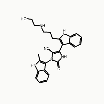 Cc1[nH]c2ccccc2c1-n1c(C#N)c(-c2c(CCCNCCO)[nH]c3ccccc23)[nH]c1=O